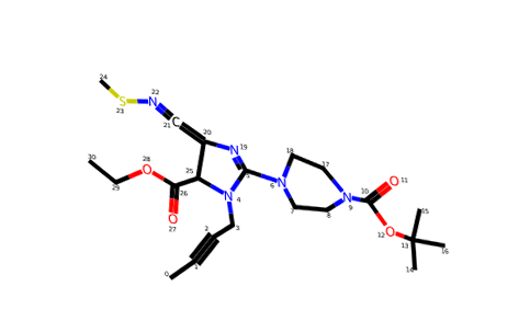 CC#CCN1C(N2CCN(C(=O)OC(C)(C)C)CC2)=NC(=C=NSC)C1C(=O)OCC